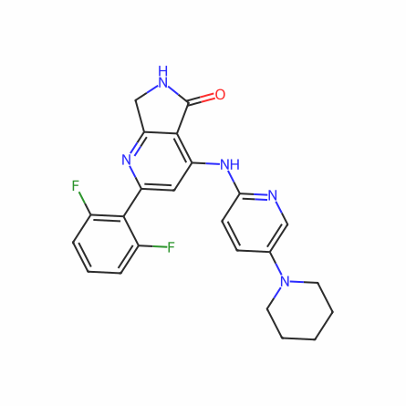 O=C1NCc2nc(-c3c(F)cccc3F)cc(Nc3ccc(N4CCCCC4)cn3)c21